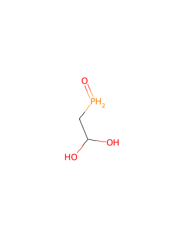 O=[PH2]CC(O)O